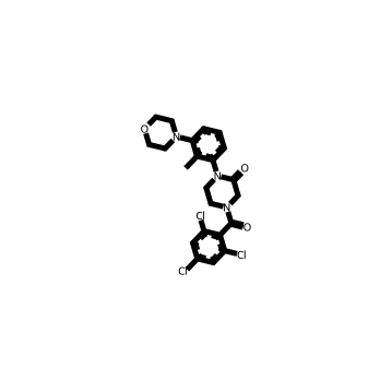 Cc1c(N2CCOCC2)cccc1N1CCN(C(=O)c2c(Cl)cc(Cl)cc2Cl)CC1=O